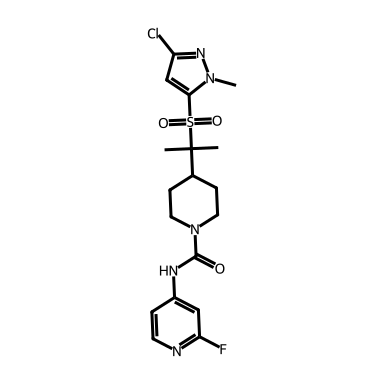 Cn1nc(Cl)cc1S(=O)(=O)C(C)(C)C1CCN(C(=O)Nc2ccnc(F)c2)CC1